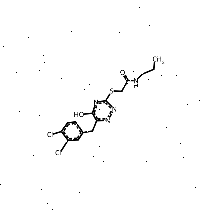 CCCNC(=O)CSc1nnc(Cc2ccc(Cl)c(Cl)c2)c(O)n1